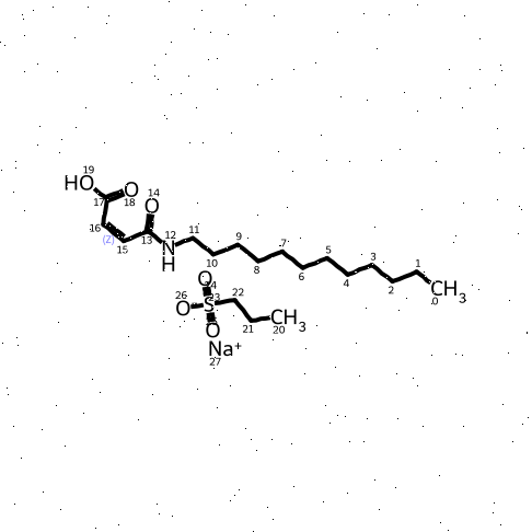 CCCCCCCCCCCCNC(=O)/C=C\C(=O)O.CCCS(=O)(=O)[O-].[Na+]